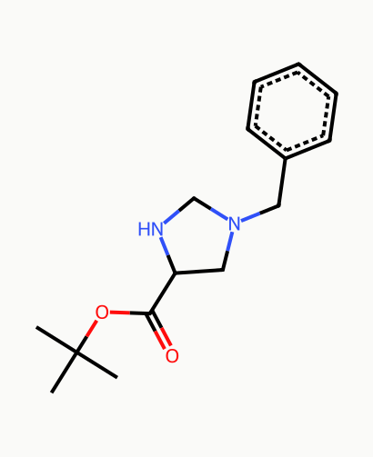 CC(C)(C)OC(=O)C1CN(Cc2ccccc2)CN1